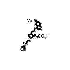 COc1ccc2nccc(CCCC3CCN(CCCSc4ccoc4)CC3CCC(=O)O)c2c1